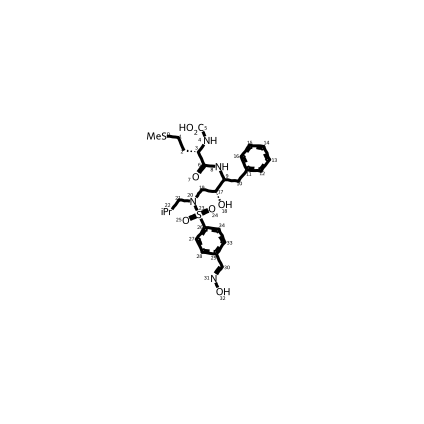 CSCC[C@H](NC(=O)O)C(=O)NC(Cc1ccccc1)[C@H](O)CN(CC(C)C)S(=O)(=O)c1ccc(/C=N/O)cc1